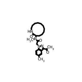 CC(=O)c1nn(CC(=O)N(C)C2CCCCCCCCCCNC2=O)c2ccc(C)cc12